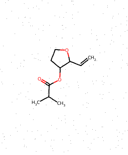 C=CC1OCCC1OC(=O)C(C)C